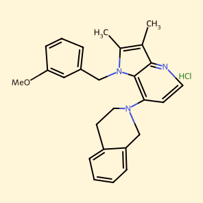 COc1cccc(Cn2c(C)c(C)c3nccc(N4CCc5ccccc5C4)c32)c1.Cl